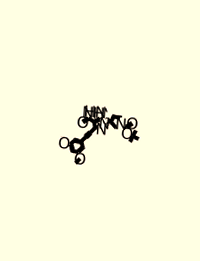 CNc1c(C(N)=O)c(C#Cc2cc(OC)cc(OC)c2)nn1[C@H]1CCN(C(=O)OC(C)(C)C)C1